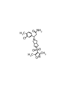 Cc1ccc(C(CC(N)=O)N2CC3CN(S(=O)(=O)c4c(C)noc4C)CC3C2)cc1Cl